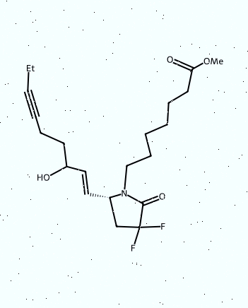 CCC#CCCC(O)C=C[C@H]1CC(F)(F)C(=O)N1CCCCCCC(=O)OC